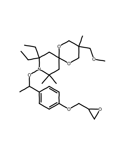 CCC1(CC)CC2(CC(C)(C)N1OC(C)c1ccc(OCC3CO3)cc1)OCC(C)(COC)CO2